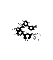 CN(C)Cc1cncc(-c2cc3c(-c4nc5c(-c6cccc(F)c6)ccnc5[nH]4)n[nH]c3cn2)c1